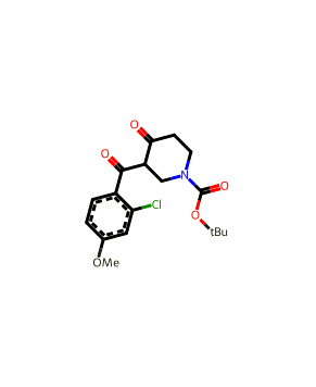 COc1ccc(C(=O)C2CN(C(=O)OC(C)(C)C)CCC2=O)c(Cl)c1